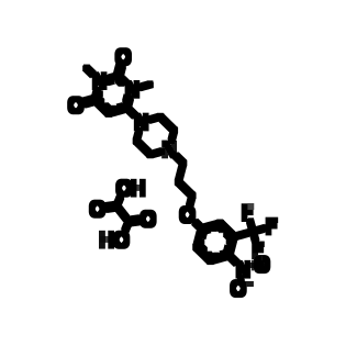 Cn1c(N2CCN(CCCOc3ccc([N+](=O)[O-])c(C(F)(F)F)c3)CC2)cc(=O)n(C)c1=O.O=C(O)C(=O)O